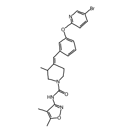 Cc1onc(NC(=O)N2CC/C(=C\c3cccc(Oc4ccc(Br)cn4)c3)C(C)C2)c1C